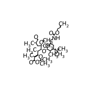 C=CCOC(=O)NCC1CC(N(C)C)C(C)[C@H](O[C@H]([C@@H](C)C2=C(C)C(=O)OC(C)(C)O2)[C@@](C)(C[C@@H](C)C=O)OC)O1